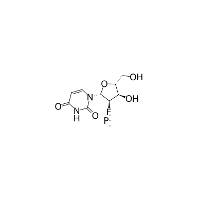 O=c1ccn([C@@H]2O[C@H](CO)[C@@H](O)[C@H]2F)c(=O)[nH]1.[P]